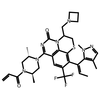 C=CC(=O)N1C[C@H](C)N(c2nc(=O)n3c4c(c(/C(=C/C)c5c(C)cnn5C)c(C(F)(F)F)cc24)SCC3CN2CCC2)C[C@H]1C